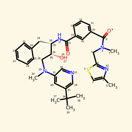 Cc1csc(CN(C)C(=O)c2cccc(C(=O)N[C@@H](Cc3ccccc3)[C@H](O)CN(C)c3cncc(C(C)(C)C)c3)c2)n1